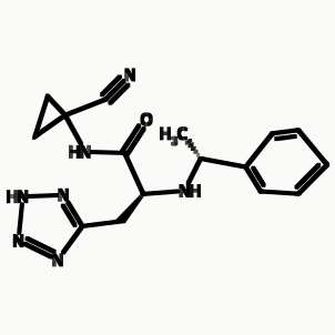 C[C@@H](N[C@@H](Cc1nn[nH]n1)C(=O)NC1(C#N)CC1)c1ccccc1